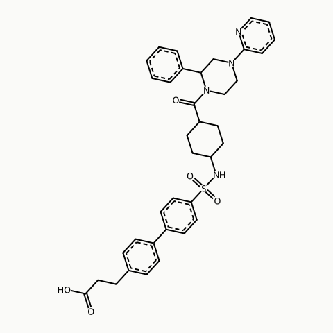 O=C(O)CCc1ccc(-c2ccc(S(=O)(=O)NC3CCC(C(=O)N4CCN(c5ccccn5)CC4c4ccccc4)CC3)cc2)cc1